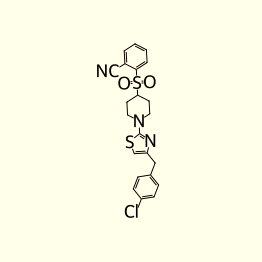 N#Cc1ccccc1S(=O)(=O)C1CCN(c2nc(Cc3ccc(Cl)cc3)cs2)CC1